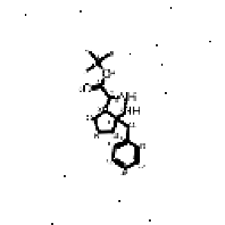 CC(C)(C)OC(=O)C1NNC2(Cc3ccccc3)CCCC12